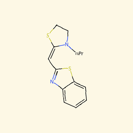 CCCN1CCSC1=Cc1nc2ccccc2s1